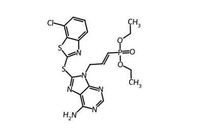 CCOP(=O)(/C=C/Cn1c(Sc2nc3cccc(Cl)c3s2)nc2c(N)ncnc21)OCC